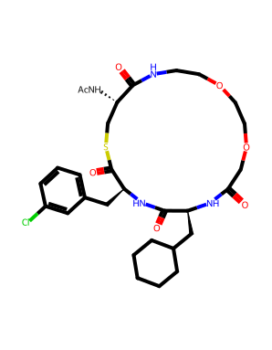 CC(=O)N[C@H]1CSC(=O)[C@H](Cc2cccc(Cl)c2)NC(=O)[C@H](CC2CCCCC2)NC(=O)COCCOCCNC1=O